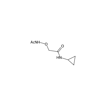 CC(=O)NOCC(=O)NC1CC1